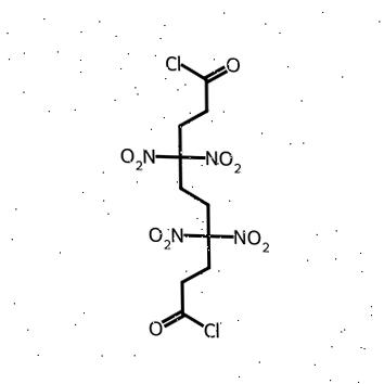 O=C(Cl)CCC(CCC(CCC(=O)Cl)([N+](=O)[O-])[N+](=O)[O-])([N+](=O)[O-])[N+](=O)[O-]